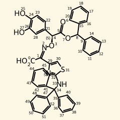 O=C(O)C(=NO[C@H](C(=O)OC(c1ccccc1)c1ccccc1)c1ccc(O)c(O)c1)c1csc(NC(c2ccccc2)(c2ccccc2)c2ccccc2)n1